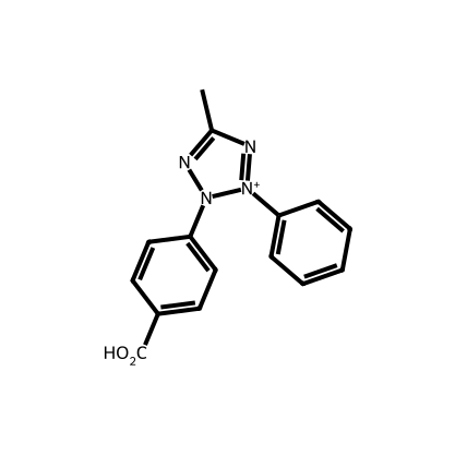 Cc1nn(-c2ccc(C(=O)O)cc2)[n+](-c2ccccc2)n1